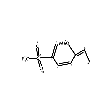 C=C(/C=C\C(=C/C)OC)S(=O)(=O)C(F)(F)F